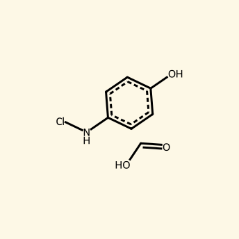 O=CO.Oc1ccc(NCl)cc1